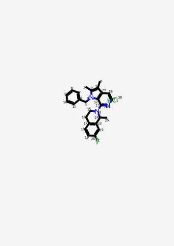 Cc1c(C)n(Cc2ccccc2)c2c(N3CCc4ccc(F)cc4C3C)nccc12.Cl